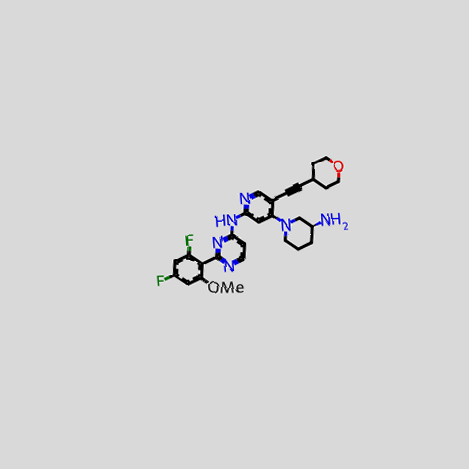 COc1cc(F)cc(F)c1-c1nccc(Nc2cc(N3CCC[C@H](N)C3)c(C#CC3CCOCC3)cn2)n1